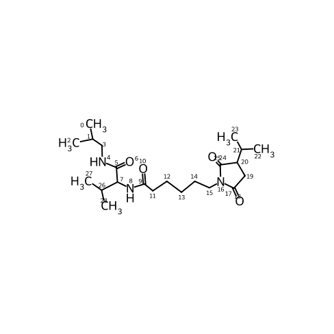 CC(C)CNC(=O)C(NC(=O)CCCCCN1C(=O)CC(C(C)C)C1=O)C(C)C